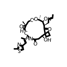 CC=CC[C@H]1C(=O)C2(CCC2)[C@@H](O)CC(=O)N[C@H](C(C)=Cc2csc(C)n2)C[C@@H]2O[C@]2(C)CCO[C@H](C)[C@H]1O